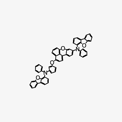 c1ccc(N(c2cccc(Oc3ccc4c5c(cccc35)Oc3cc(N(c5ccccc5)c5cccc6c5oc5ccccc56)ccc3-4)c2)c2cccc3c2oc2ccccc23)cc1